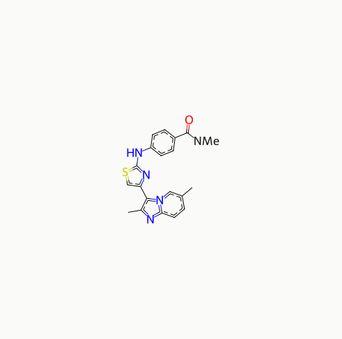 CNC(=O)c1ccc(Nc2nc(-c3c(C)nc4ccc(C)cn34)cs2)cc1